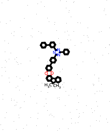 CC1(C)c2ccccc2-c2c1ccc1c2Oc2cc(-c3ccc(-c4nc(-c5ccccc5)nc(-c5cccc(-c6ccccc6)c5)n4)cc3)ccc2O1